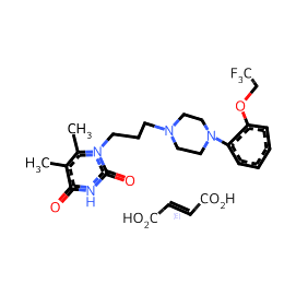 Cc1c(C)n(CCCN2CCN(c3ccccc3OCC(F)(F)F)CC2)c(=O)[nH]c1=O.O=C(O)/C=C/C(=O)O